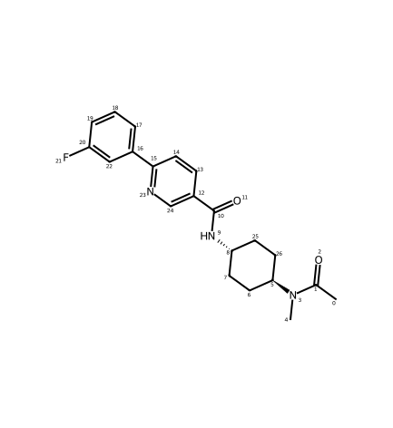 CC(=O)N(C)[C@H]1CC[C@H](NC(=O)c2ccc(-c3cccc(F)c3)nc2)CC1